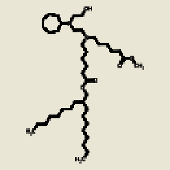 CCCCCCCCC(CCCCCCCC)COC(=O)CCCCCN(CCCCCC(=O)OC)CCN(CCO)C1CCCCCC1